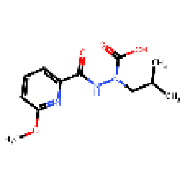 COc1cccc(C(=O)NN(CC(C)C)C(=O)O)n1